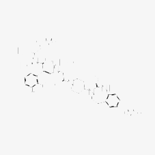 COCC(C)N(C)C(=O)/C(=C\N(C=O)CC(=O)N1CCC(N2CCc3cc(OC)ccc3NC2=O)CC1)c1cccc(F)c1Cl